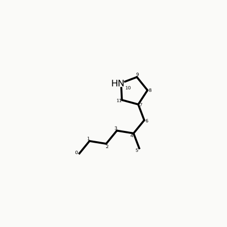 CCCCC(C)CC1CCNC1